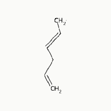 [CH2]/C=C/CC=C